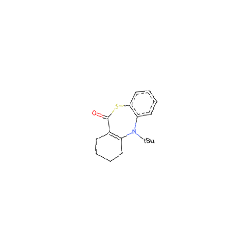 CC(C)(C)N1C2=C(CCCC2)C(=O)Sc2ccccc21